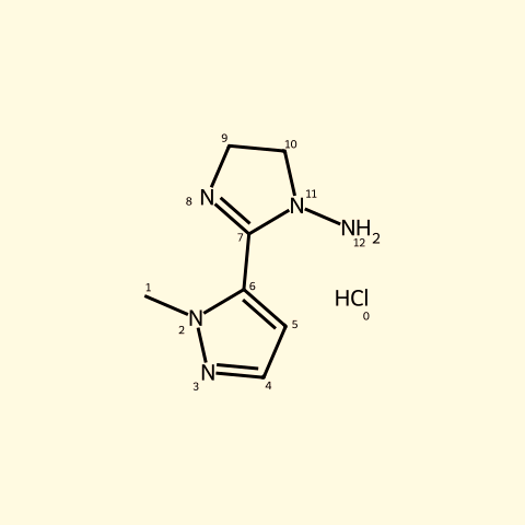 Cl.Cn1nccc1C1=NCCN1N